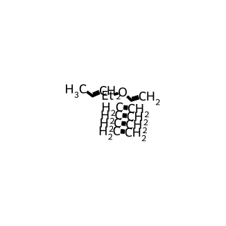 C=C.C=C.C=C.C=C.C=CC.C=COCC